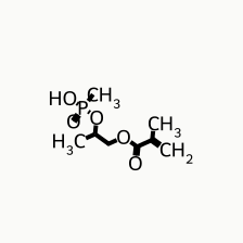 C=C(C)C(=O)OCC(C)OP(C)(=O)O